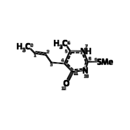 CC=CCc1c(C)[nH]c(SC)nc1=O